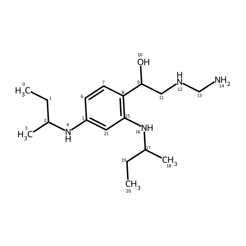 CCC(C)Nc1ccc(C(O)CNCN)c(NC(C)CC)c1